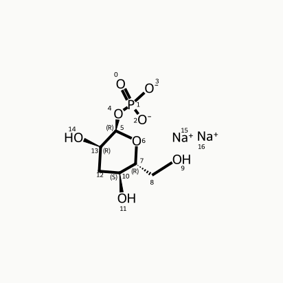 O=P([O-])([O-])O[C@H]1O[C@H](CO)[C@@H](O)C[C@H]1O.[Na+].[Na+]